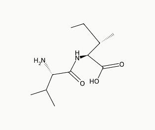 CC[C@H](C)[C@H](NC(=O)[C@@H](N)C(C)C)C(=O)O